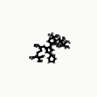 CN(CCN(C)C(=O)O)Cc1cn(C2CCCCO2)nc1C1=C[C@@H](O[Si](C)(C)C(C)(C)C)C(C)(C)CC1